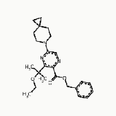 CCOC(C)(C)c1nc(N2CCC3(CC2)CC3)cnc1C(=O)OCc1ccccc1